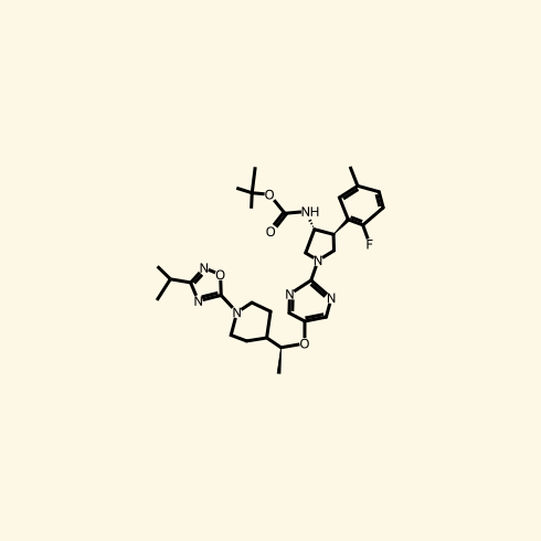 Cc1ccc(F)c([C@H]2CN(c3ncc(O[C@@H](C)C4CCN(c5nc(C(C)C)no5)CC4)cn3)C[C@@H]2NC(=O)OC(C)(C)C)c1